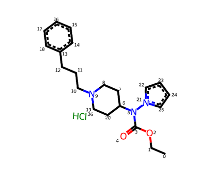 CCOC(=O)N(C1CCN(CCCc2ccccc2)CC1)n1cccc1.Cl